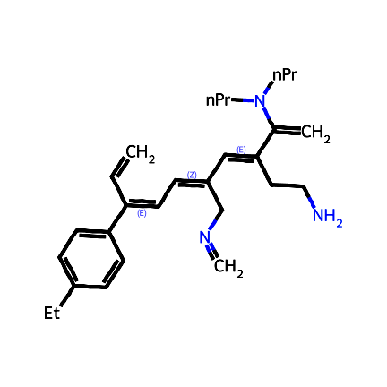 C=C\C(=C/C=C(/C=C(\CCN)C(=C)N(CCC)CCC)CN=C)c1ccc(CC)cc1